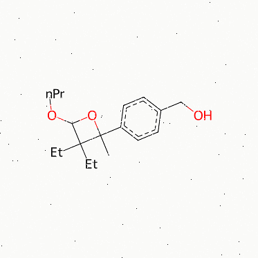 CCCOC1OC(C)(c2ccc(CO)cc2)C1(CC)CC